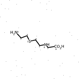 NCCSCCNCC(=O)O